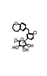 CO[C@H]1O[C@@H](c2ccc(Cl)c(Cc3ccc4c(c3)CCCCO4)c2)[C@H](O)[C@@H](O)[C@@H]1O